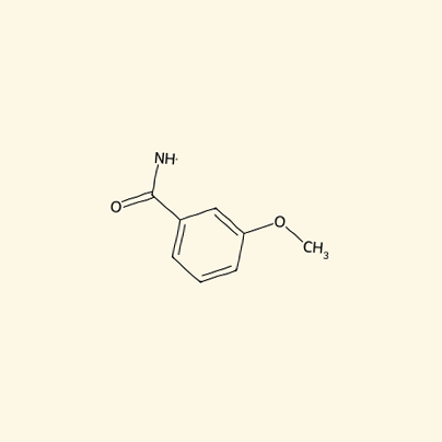 COc1cccc(C([NH])=O)c1